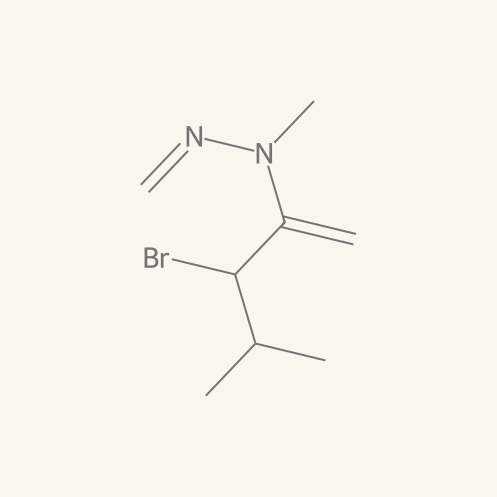 C=NN(C)C(=C)C(Br)C(C)C